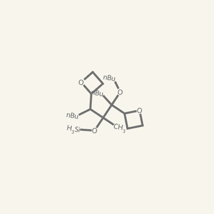 CCCCOC(CCCC)(C1CCO1)C(C)(O[SiH3])C(CCCC)C1CCO1